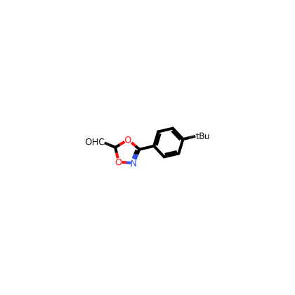 CC(C)(C)c1ccc(C2=NOC(C=O)O2)cc1